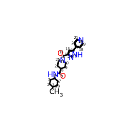 CC1CCC(NC(=O)C2CCN(C(=O)c3cc(-c4ccncc4)[nH]n3)CC2)CC1